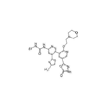 CCNC(=O)Nc1cc(-c2nc(C)cs2)c(-c2cc(-c3n[nH]c(=O)o3)cnc2OCCN2CCOCC2)cn1